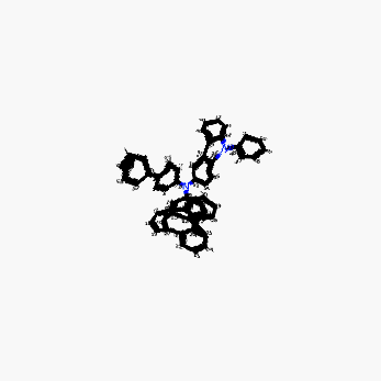 c1ccc(-c2ccc(N(c3ccc4c(c3)-c3c5cccc3-c3cccc-4c3-c3ccccc3-5)c3ccc4c(c3)c3ccccc3n4-c3ccccc3)cc2)cc1